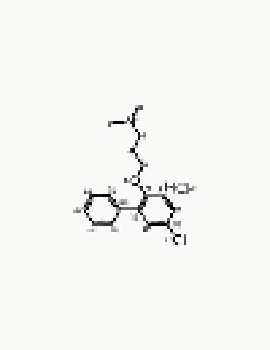 CN(C)CCCOc1ccc(Cl)cc1-c1ccccc1.Cl